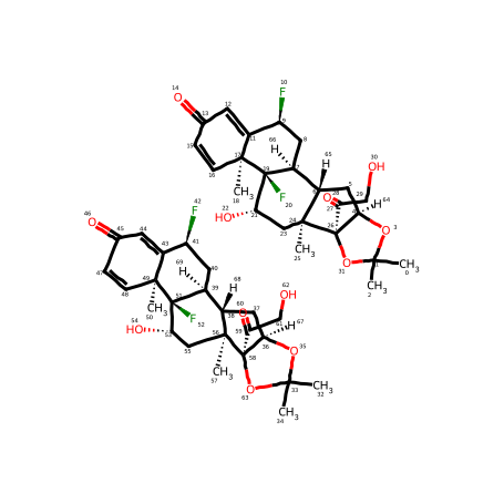 CC1(C)O[C@@H]2C[C@H]3[C@@H]4C[C@H](F)C5=CC(=O)C=C[C@]5(C)[C@@]4(F)[C@@H](O)C[C@]3(C)[C@]2(C(=O)CO)O1.CC1(C)O[C@@H]2C[C@H]3[C@@H]4C[C@H](F)C5=CC(=O)C=C[C@]5(C)[C@@]4(F)[C@@H](O)C[C@]3(C)[C@]2(C(=O)CO)O1